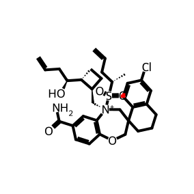 C=CC[C@H](O)[C@@H]1CC[C@H]1C[N@+]1(S(=O)(=O)[C@@H](C)CC=C)CC2(CCCc3cc(Cl)ccc32)COc2ccc(C(N)=O)cc21